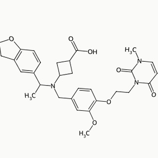 COc1cc(CN(C2CC(C(=O)O)C2)C(C)c2ccc3c(c2)CCO3)ccc1OCCn1c(=O)ccn(C)c1=O